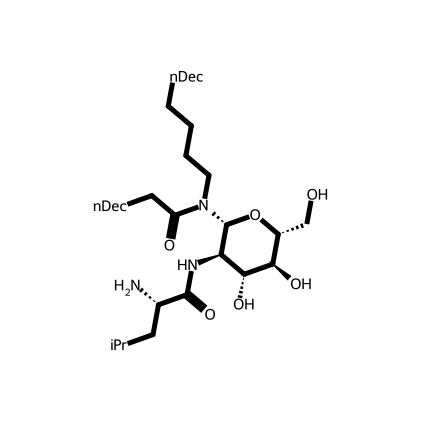 CCCCCCCCCCCCCCN(C(=O)CCCCCCCCCCC)[C@@H]1O[C@H](CO)[C@@H](O)[C@H](O)[C@H]1NC(=O)[C@@H](N)CC(C)C